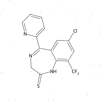 FC(F)(F)c1cc(Cl)cc2c1NC(=S)CN=C2c1ccccn1